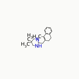 CC1=C(CC2=NCC(C)(C)CN2)CCc2ccccc21